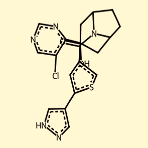 O=C(c1csc(-c2cn[nH]c2)c1)N1C2CCC1CC(O)(c1ncncc1Cl)C2